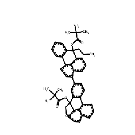 CCCC1(OC(=O)C(C)(C)C)c2ccccc2-c2ccc(-c3ccc4c(c3)C(CC)(OC(=O)C(C)(C)C)c3cccc5cccc-4c35)c3cccc1c23